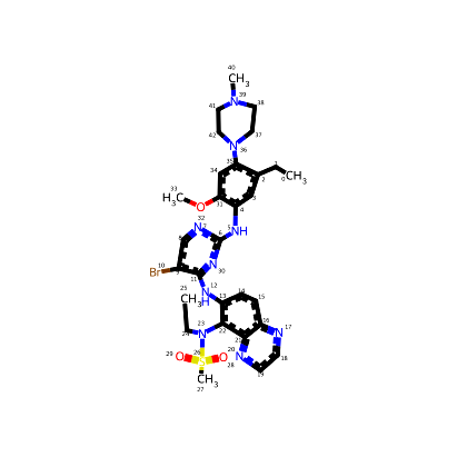 CCc1cc(Nc2ncc(Br)c(Nc3ccc4nccnc4c3N(CC)S(C)(=O)=O)n2)c(OC)cc1N1CCN(C)CC1